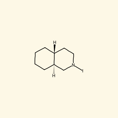 IN1CC[C@H]2CCCC[C@@H]2C1